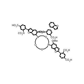 COc1cc2cc(-c3ccc(C(=O)O)cc3C(=O)O)oc2cc1N1CCOCCOCCN(c2cc3oc(-c4ccc(C(=O)O)cc4C(=O)O)cc3cc2OC)CCOCC1.O=C(O)c1cccc(C(=O)O)c1.c1ccc2occc2c1